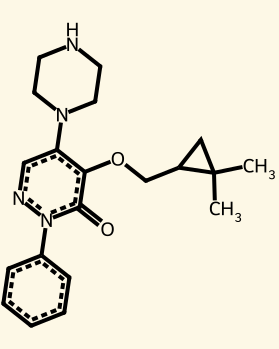 CC1(C)CC1COc1c(N2CCNCC2)cnn(-c2ccccc2)c1=O